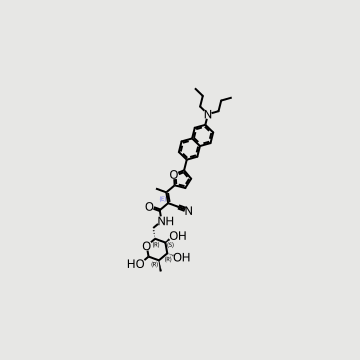 CCCN(CCC)c1ccc2cc(-c3ccc(/C(C)=C(\C#N)C(=O)NC[C@H]4OC(O)[C@H](C)[C@@H](O)[C@@H]4O)o3)ccc2c1